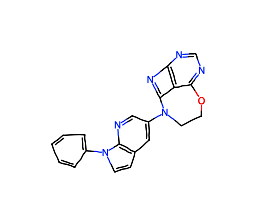 c1ccc(-n2ccc3cc(N4CCOc5ncnc6c5C4=N6)cnc32)cc1